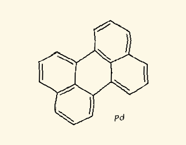 [Pd].c1cc2cccc3c4cccc5cccc(c(c1)c23)c54